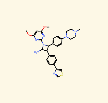 COc1cc(OC)nc(N2C(N)C(c3ccc(-c4cscn4)cc3)C2c2ccc(N3CCN(C)CC3)cc2)n1